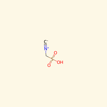 [C-]#[N+]CS(=O)(=O)O